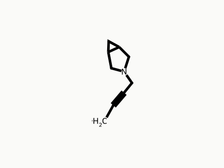 [CH2]C#CCN1CC2CC2C1